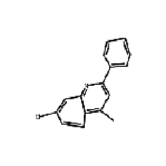 Cc1cc(-c2ccccc2)nc2cc(Cl)ccc12